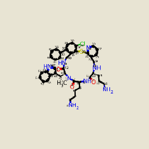 CN1C(=O)C(CCCCN)NC(=O)[C@H](CCCN)NCc2cccnc2Sc2c(Cl)ccc(-c3ccccc3)c2CNC(=O)[C@@H]1Cc1c[nH]c2ccccc12